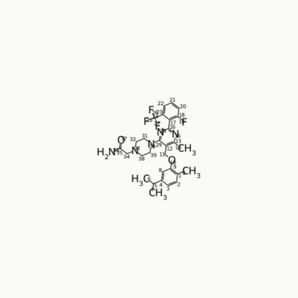 Cc1ccc(C(C)C)cc1OCc1c(C)nc(-c2c(F)cccc2C(F)(F)F)nc1N1CCN(CC(N)=O)CC1